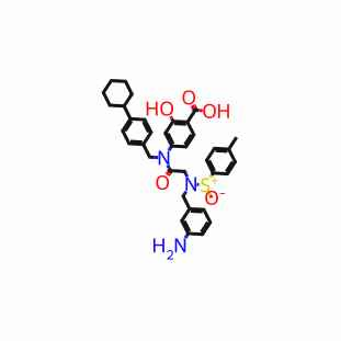 Cc1ccc([S+]([O-])N(CC(=O)N(Cc2ccc(C3CCCCC3)cc2)c2ccc(C(=O)O)c(O)c2)Cc2cccc(N)c2)cc1